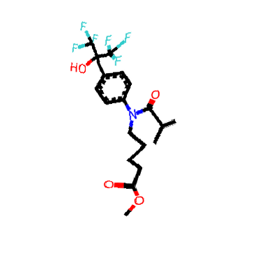 COC(=O)CCCCN(C(=O)C(C)C)c1ccc(C(O)(C(F)(F)F)C(F)(F)F)cc1